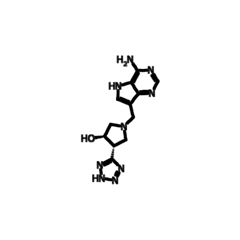 Nc1ncnc2c(CN3C[C@H](c4nn[nH]n4)[C@@H](O)C3)c[nH]c12